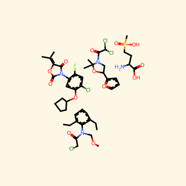 CC(C)=C1OC(=O)N(c2cc(OC3CCCC3)c(Cl)cc2F)C1=O.CC1(C)OC(c2ccco2)CN1C(=O)C(Cl)Cl.CCc1cccc(CC)c1N(COC)C(=O)CCl.CP(=O)(O)CCC(N)C(=O)O